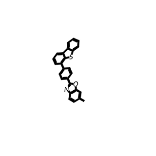 Cc1ccc2nc(-c3ccc(-c4cccc5c4sc4ccccc45)cc3)oc2c1